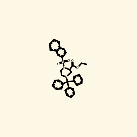 CCOC(=O)C1CN(C(c2ccccc2)(c2ccccc2)c2ccccc2)CCN1S(=O)(=O)c1ccc2ccccc2c1